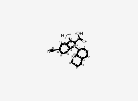 Cc1c(C(=O)O)n(-c2cccc3cccnc23)c2ccc(C#N)cc12